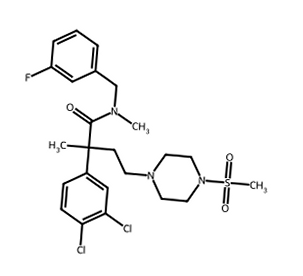 CN(Cc1cccc(F)c1)C(=O)C(C)(CCN1CCN(S(C)(=O)=O)CC1)c1ccc(Cl)c(Cl)c1